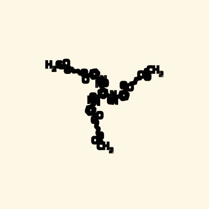 C=CC(=O)OCCCCOC(=O)c1cccc(-c2noc(-c3cc(-c4nc(-c5cccc(C(=O)OCCCCOC(=O)C=C)c5)no4)cc(-c4nc(-c5cccc(C(=O)OCCCCOC(=O)C=C)c5)no4)c3)n2)c1